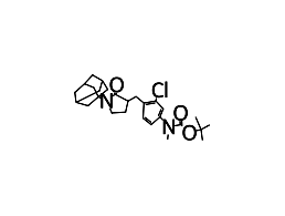 CN(C(=O)OC(C)(C)C)c1ccc(CC2CCN(C34CC5CC(CC(C5)C3)C4)C2=O)c(Cl)c1